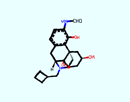 O=CNc1ccc2c(c1O)[C@]13CCN(CC4CCC4)[C@H](C2)[C@]1(O)CC[C@H](O)C3